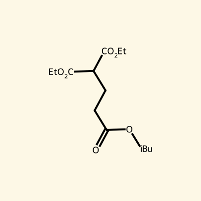 CCOC(=O)C(CCC(=O)OC(C)CC)C(=O)OCC